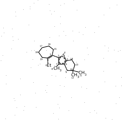 CCC1=C(c2sc3c(c2C)CC(C)(C)CC3)CCCCC1